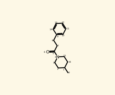 CC1CCN(C(=O)CCc2ccccc2)CC1